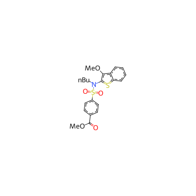 CCCCN(c1sc2ccccc2c1OC)S(=O)(=O)c1ccc(C(=O)OC)cc1